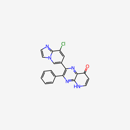 O=c1cc[nH]c2nc(-c3ccccc3)c(-c3cc(Cl)c4nccn4c3)nc12